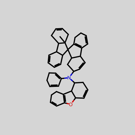 CC12CC=CCC1C1C=CC=CC1C21C2=C(C=CCC2)C2C=CC(N(C3=CCCC=C3)C3CC=CC4OC5=C(CCC=C5)C43)CC21